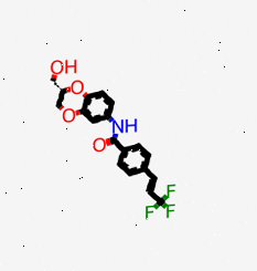 O=C(Nc1ccc2c(c1)OC[C@H](CO)O2)c1ccc(C=CC(F)(F)F)cc1